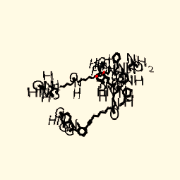 NC(=O)CC[C@H](NC(=O)[C@@H]1CC[C@@H]2CCN(C(=O)CCCCCC#Cc3cccc4c3CN(C3CCC(=O)NC3=O)C4=O)C[C@H](NC(=O)c3cc4cc(C(F)(F)P(=O)(O)O)ccc4[nH]3)C(=O)N21)C(=O)N[C@H](C(=O)NCCCCCCCCNC(=O)CCCC[C@@H]1SC[C@@H]2NC(=O)N[C@@H]21)c1ccccc1